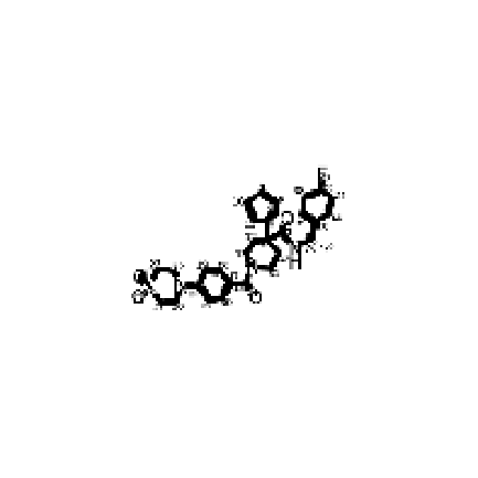 C[C@H](NC(=O)C1(c2ccccc2)CCN(C(=O)c2ccc(N3CCS(=O)(=O)CC3)cc2)CC1)c1ccc(F)cc1